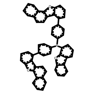 c1ccc2c(c1)ccc1c2oc2cccc(-c3ccc(N(c4ccc(-c5cccc6oc7c8ccccc8ccc7c56)cc4)c4cccc5c4oc4ccccc45)cc3)c21